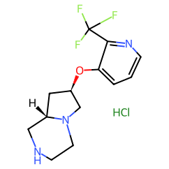 Cl.FC(F)(F)c1ncccc1O[C@@H]1C[C@H]2CNCCN2C1